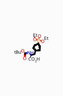 CCOP(=O)(OCC)c1ccc(C[C@H](NC(=O)OC(C)(C)C)C(=O)O)cc1